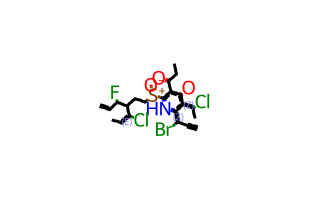 C#C/C(Br)=c1/[nH]c([S+]([O-])CCC(/C(Cl)=C\C)C(F)C=C)c(C(=O)CC)c(=O)/c1=C(/C)Cl